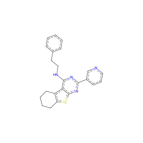 c1ccc(CCNc2nc(-c3cccnc3)nc3sc4c(c23)CCCC4)cc1